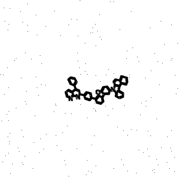 c1ccc(-c2cc(-c3ccc(-c4cccc5c4oc4ccc(-n6c7ccccc7c7c8ccccc8ccc76)cc45)cc3)nc3ncccc23)cc1